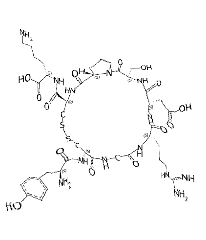 N=C(N)NCCC[C@@H]1NC(=O)CNC(=O)[C@H](NC(=O)[C@@H](N)Cc2ccc(O)cc2)CSSC[C@@H](C(=O)N[C@@H](CCCCN)C(=O)O)NC(=O)[C@@H]2CCCN2C(=O)[C@H](CO)NC(=O)[C@H](CC(=O)O)NC1=O